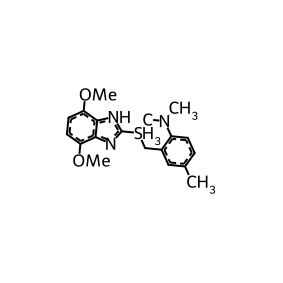 COc1ccc(OC)c2[nH]c(SCc3cc(C)ccc3N(C)C)nc12